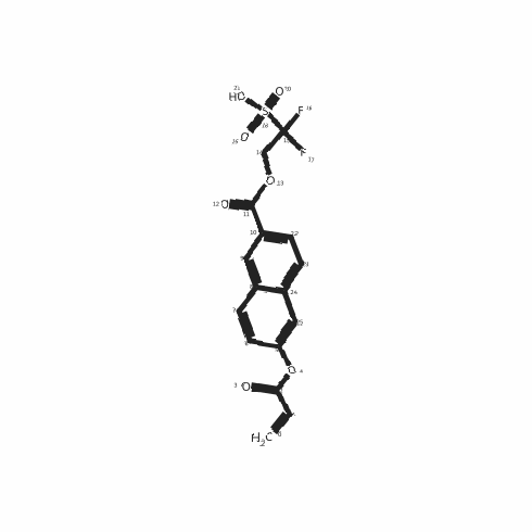 C=CC(=O)Oc1ccc2cc(C(=O)OCC(F)(F)S(=O)(=O)O)ccc2c1